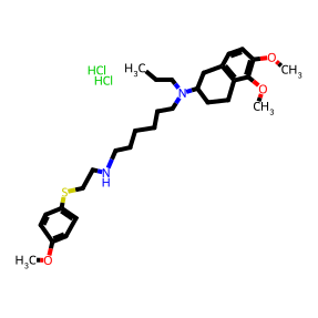 CCCN(CCCCCCNCCSc1ccc(OC)cc1)C1CCc2c(ccc(OC)c2OC)C1.Cl.Cl